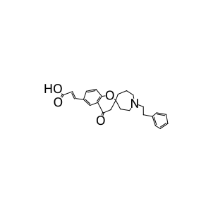 O=C(O)/C=C/c1ccc2c(c1)C(=O)CC1(CCCN(CCc3ccccc3)CC1)O2